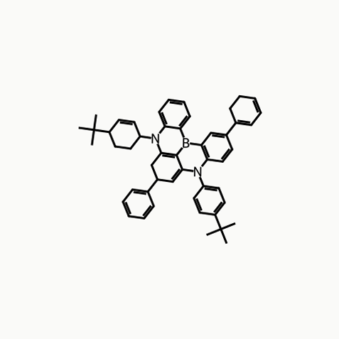 CC(C)(C)c1ccc(N2C3=CC(c4ccccc4)CC4=C3B(c3cc(C5=CC=CCC5)ccc32)c2ccccc2N4C2C=CC(C(C)(C)C)CC2)cc1